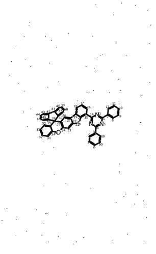 c1ccc(-c2nc(-c3ccccc3)nc(-c3cccc4c3sc3cc5c(cc34)C3(c4ccccc4O5)c4ccccc4-c4ccccc43)n2)cc1